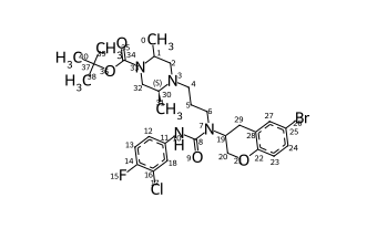 CC1CN(CCCN(C(=O)Nc2ccc(F)c(Cl)c2)C2COc3ccc(Br)cc3C2)[C@@H](C)CN1C(=O)OC(C)(C)C